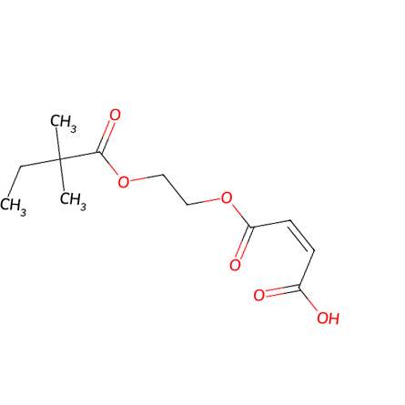 CCC(C)(C)C(=O)OCCOC(=O)/C=C\C(=O)O